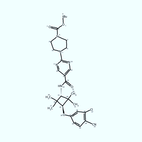 CC(C)(C)OC(=O)N1CCN(c2ncc(C(=O)N[C@H]3C(C)(C)[C@H](Oc4ccc(C#N)c(Cl)c4)C3(C)C)cn2)CC1